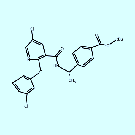 C[C@H](NC(=O)c1cc(Cl)cnc1Oc1cccc(Cl)c1)c1ccc(C(=O)OC(C)(C)C)cc1